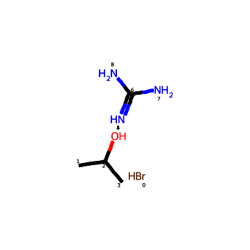 Br.CC(C)O.N=C(N)N